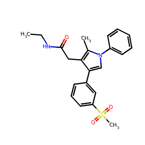 CCNC(=O)Cc1c(-c2cccc(S(C)(=O)=O)c2)cn(-c2ccccc2)c1C